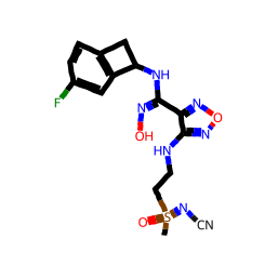 CS(=O)(CCNc1nonc1C(=NO)NC1Cc2ccc(F)cc21)=NC#N